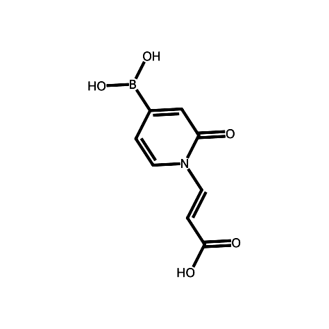 O=C(O)/C=C/n1ccc(B(O)O)cc1=O